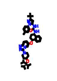 Cc1ccc(-n2nc(C(C)(C)C)cc2NC(=O)N[C@H]2CC[C@@H](Oc3ccc4nnc(N5CCC(O[Si](C(C)C)(C(C)C)C(C)C)CC5)n4c3)c3ccccc32)cc1